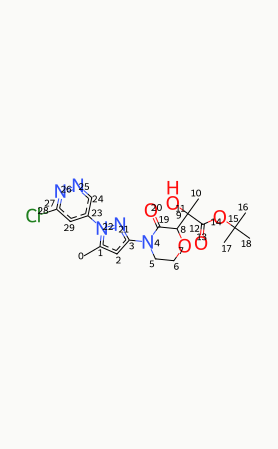 Cc1cc(N2CCOC(C(C)(O)C(=O)OC(C)(C)C)C2=O)nn1-c1cnnc(Cl)c1